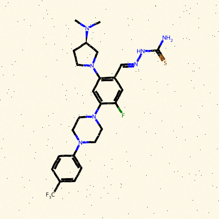 CN(C)[C@@H]1CCN(c2cc(N3CCN(c4ccc(C(F)(F)F)cc4)CC3)c(F)cc2/C=N/NC(N)=S)C1